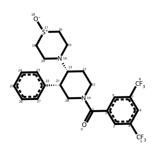 O=C(c1cc(C(F)(F)F)cc(C(F)(F)F)c1)N1CC[C@@H](N2CC[S+]([O-])CC2)[C@@H](c2ccccc2)C1